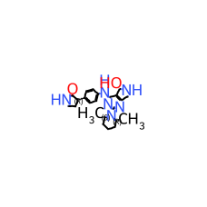 C[C@@H]1CCC[C@H](C)N1c1nc2c(c(Nc3ccc([C@H]4CCNC4=O)cc3)n1)C(O)NC2